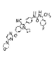 C[C@@H](NC(=O)Nc1ccc(-c2c(C#N)c3ccc(Oc4nccc(N5CCOCC5)n4)cc3n2C2CCC2)cc1)c1ccc(F)cc1